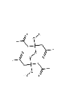 CC(=O)CC(CC(C)=O)(OO)OOC(CC(C)=O)(CC(C)=O)OO